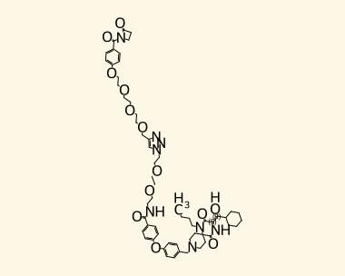 CCCCN1C(=O)[C@H]([C@H](O)C2CCCCC2)NC(=O)C12CCN(Cc1ccc(Oc3ccc(C(=O)NCCOCCOCCn4cc(COCCOCCOCCOc5ccc(C(=O)N6CCC6=O)cc5)nn4)cc3)cc1)CC2